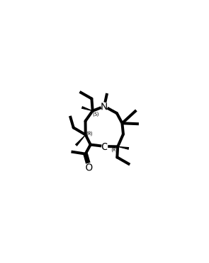 CC[C@]1(C)CC(C(C)=O)[C@](C)(CC)C[C@](C)(CC)N(C)CC(C)(C)C1